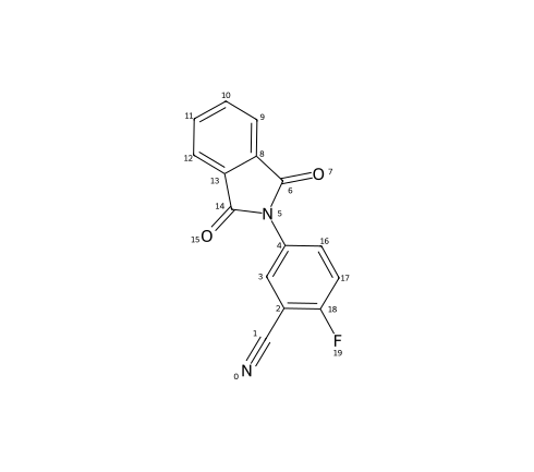 N#Cc1cc(N2C(=O)c3ccccc3C2=O)ccc1F